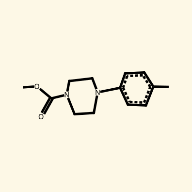 COC(=O)N1CCN(c2ccc(C)cc2)CC1